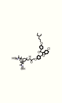 CCN(CC)CCCOc1ccc(C(=O)c2c(-c3ccc(OCC(=O)NCC(C)(CNC(C)(C)/C(C)=N/O)CNC(C)(C)/C(C)=N/O)cc3)oc3ccc(Cl)cc23)cc1